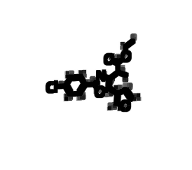 CCOC(=O)C(C)c1nc(-c2ccc(Cl)cc2)oc1-c1ccoc1